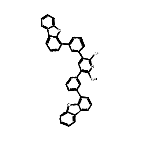 CC(C)(C)c1nc(C(C)(C)C)c(-c2cccc(-c3cccc4c3oc3ccccc34)c2)cc1-c1cccc(-c2cccc3c2oc2ccccc23)c1